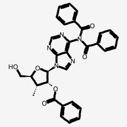 C[C@H]1[C@@H](OC(=O)c2ccccc2)[C@H](n2cnc3c(N(C(=O)c4ccccc4)C(=O)c4ccccc4)ncnc32)O[C@@H]1CO